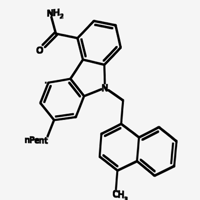 CCCCCc1c[c]c2c3c(C(N)=O)cccc3n(Cc3ccc(C)c4ccccc34)c2c1